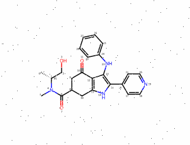 C[C@H](CO)N(C)C(=O)C1CC(=O)c2c([nH]c(-c3ccncc3)c2Nc2ccccc2)C1